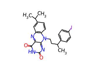 CC(C)c1ccc2c(c1)nc1c(=O)[nH]c(=O)nc-1n2CCC(C)c1ccc(I)cc1